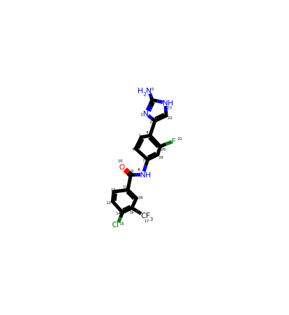 Nc1nc(-c2ccc(NC(=O)c3ccc(Cl)c(C(F)(F)F)c3)cc2F)c[nH]1